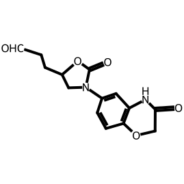 O=CCCC1CN(c2ccc3c(c2)NC(=O)CO3)C(=O)O1